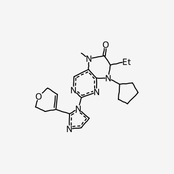 CCC1C(=O)N(C)c2cnc(-n3ccnc3C3=CCOCC3)nc2N1C1CCCC1